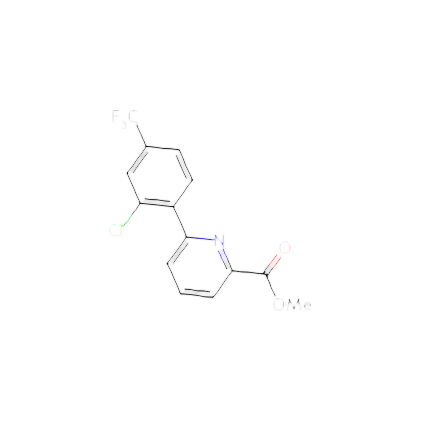 COC(=O)c1cccc(-c2ccc(C(F)(F)F)cc2Cl)n1